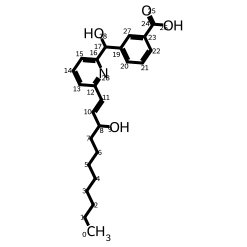 CCCCCCCCC(O)/C=C/c1cccc(C(O)c2cccc(C(=O)O)c2)n1